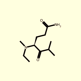 CCN(C)[C@@H](CCC(N)=O)C(=O)C(C)C